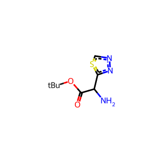 CC(C)(C)OC(=O)C(N)c1nncs1